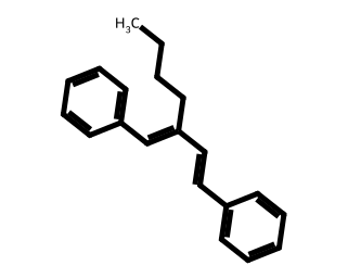 CCCCC(C=Cc1ccccc1)=Cc1ccccc1